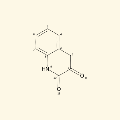 O=C1Cc2ccccc2NC1=O